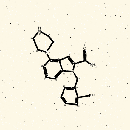 NC(=O)c1cc2c(N3CCNCC3)cccc2n1Cc1ccccc1F